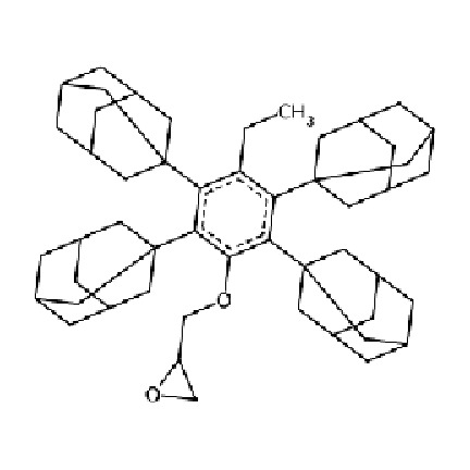 CCc1c(C23CC4CC(CC(C4)C2)C3)c(C23CC4CC(CC(C4)C2)C3)c(OCC2CO2)c(C23CC4CC(CC(C4)C2)C3)c1C12CC3CC(CC(C3)C1)C2